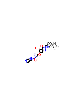 CCOC(=O)N[C@@H](CNC(=O)c1ccc(OCCNC(=O)NCc2ccncc2)cc1O)C(=O)O